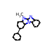 Cn1c2ccc(-c3ccccc3)cc2n2c3ccccc3nc12